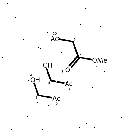 CC(=O)CO.CC(=O)CO.COC(=O)CC(C)=O